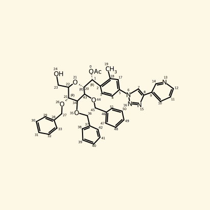 CC(=O)O[C@H](c1ccc(-n2cc(-c3cccnc3)nn2)cc1C)[C@H]1OC(CO)[C@@H](OCc2ccccc2)C(OCc2ccccc2)C1OCc1ccccc1